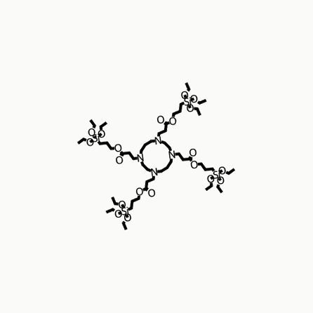 CCO[Si](CCCOC(=O)CCN1CCCN(CCC(=O)OCCC[Si](OCC)(OCC)OCC)CCN(CCC(=O)OCCC[Si](OCC)(OCC)OCC)CCCN(CCC(=O)OCCC[Si](OCC)(OCC)OCC)CC1)(OCC)OCC